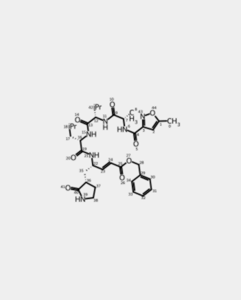 Cc1cc(C(=O)N[C@@H](C)C(=O)N[C@H](C(=O)N[C@@H](CC(C)C)C(=O)N[C@H](/C=C/C(=O)OCc2ccccc2)C[C@@H]2CCNC2=O)C(C)C)no1